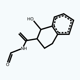 C=C(NC=O)C1CCc2ccccc2C1O